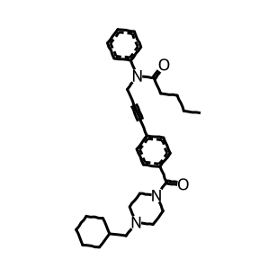 CCCCC(=O)N(CC#Cc1ccc(C(=O)N2CCN(CC3CCCCC3)CC2)cc1)c1ccccc1